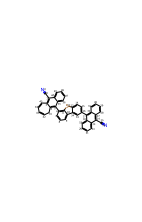 N#Cc1c2c(c(-c3cccc4c3sc3ccc(-c5c6ccccc6c(C#N)c6ccccc56)cc34)c3ccccc13)CC=CC=C2